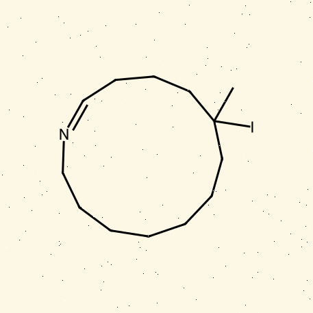 CC1(I)CCC/C=N\CCCCCCC1